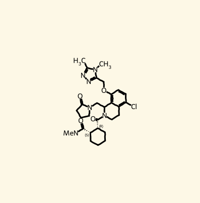 CNC(=O)[C@H]1CCCC[C@H]1C(=O)N1CCc2c(Cl)ccc(OCc3nnc(C)n3C)c2C1CN1CCCC1=O